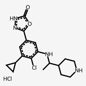 CC(Nc1cc(-c2n[nH]c(=O)o2)cc(C2CC2)c1Cl)C1CCNCC1.Cl